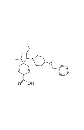 CCCC(N1CCC(OCc2ccccc2)CC1)C1(C(C)C)C=CC(C(=O)O)C=C1